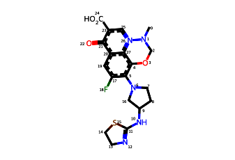 CN1COc2c(N3CCC(NC4=NCCS4)C3)c(F)cc3c(=O)c(C(=O)O)cn1c23